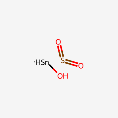 O=S=O.[OH][SnH]